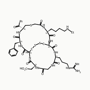 CCNCCCC[C@@H]1NC(=O)CSC[C@@H](C(=O)C(C)C)NC(=O)[C@H](Cc2ccccc2)NC(=O)[C@@H]2CSSC[C@H](NC1=O)C(=O)N[C@@H](CCCNC(=N)N)C(=O)NCC(=O)N[C@@H](CC(=O)O)C(=O)N2